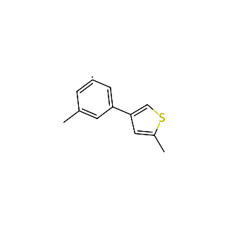 Cc1c[c]cc(-c2csc(C)c2)c1